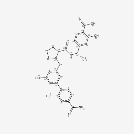 Cc1cc(C(N)=O)ccc1-c1cc(O)cc(CN2CCCC2C(=O)N[C@@H](C)c2ccc(C(=O)O)c(O)c2)c1